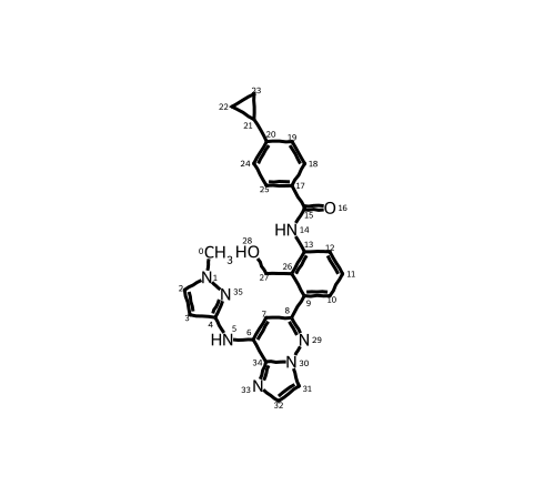 Cn1ccc(Nc2cc(-c3cccc(NC(=O)c4ccc(C5CC5)cc4)c3CO)nn3ccnc23)n1